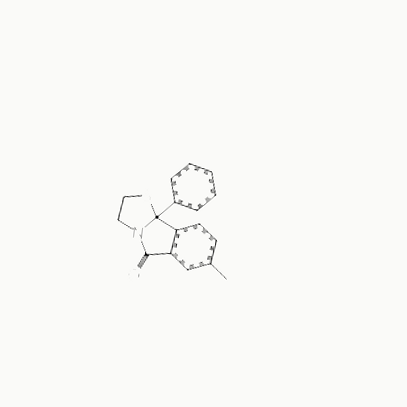 Cc1ccc2c(c1)C(=O)N1CCSC21c1ccccc1